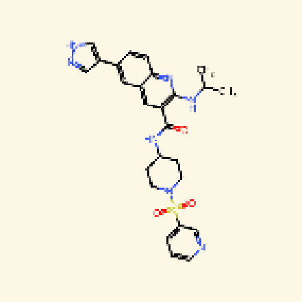 CC(C)Nc1nc2ccc(-c3cn[nH]c3)cc2cc1C(=O)NC1CCN(S(=O)(=O)c2cccnc2)CC1